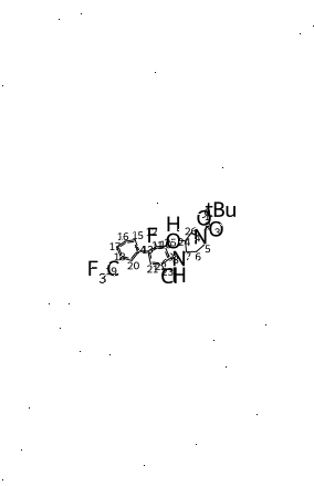 CC(C)(C)OC(=O)N1CCC(Nc2cc(F)c(-c3cccc(C(F)(F)F)c3)cc2Cl)C(O)C1